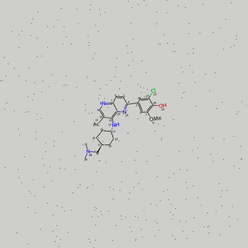 COc1cc(-c2ccc3ncc(C(C)=O)c(N[C@H]4CC[C@H](CN(C)C)CC4)c3n2)cc(Cl)c1O